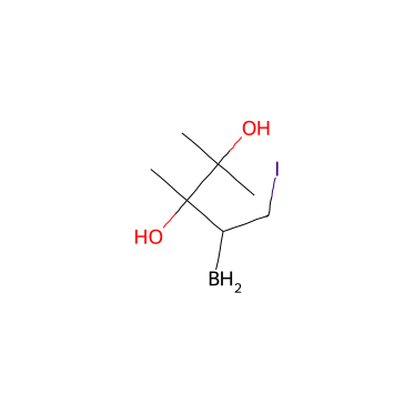 BC(CI)C(C)(O)C(C)(C)O